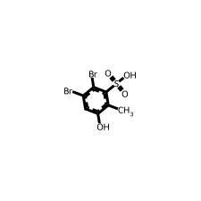 Cc1c(O)cc(Br)c(Br)c1S(=O)(=O)O